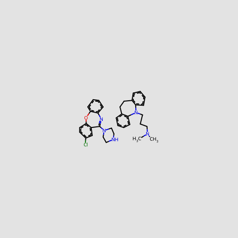 CN(C)CCCN1c2ccccc2CCc2ccccc21.Clc1ccc2c(c1)C(N1CCNCC1)=Nc1ccccc1O2